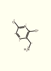 NCc1ncc(Cl)nc1Cl